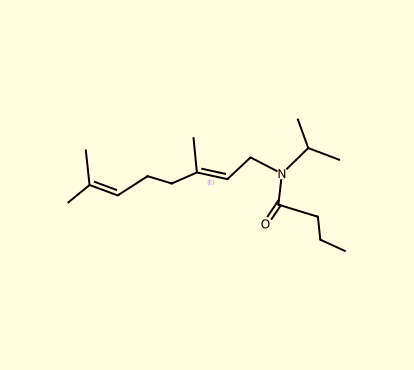 CCCC(=O)N(C/C=C(\C)CCC=C(C)C)C(C)C